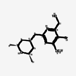 C[C@@H]1CN(Cc2cc(C(=O)O)c(Br)c(CO)n2)C[C@H](C)O1